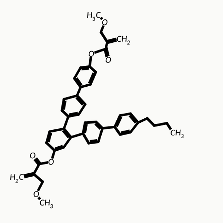 C=C(COC)C(=O)Oc1ccc(-c2ccc(-c3ccc(OC(=O)C(=C)COC)cc3-c3ccc(-c4ccc(CCCC)cc4)cc3)cc2)cc1